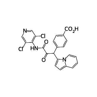 O=C(Nc1c(Cl)cncc1Cl)C(=O)C(c1ccc(C(=O)O)cc1)c1ccc2ccccn12